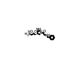 BCCC[C@H]1CN(C(=O)CNCc2ccccc2)C[C@@]1(N)C(=O)O